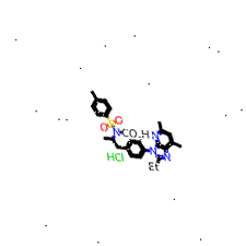 CCc1nc2c(C)cc(C)nc2n1-c1ccc(CC(C)N(C(=O)O)S(=O)(=O)c2ccc(C)cc2)cc1.Cl